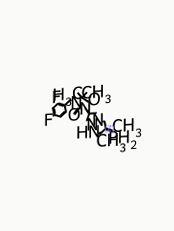 CC(=N)/C(CN1CC(N2C(=O)N(Cc3ccc(F)cc3F)C(C)(C)C2=O)C=N1)=C(/C)P